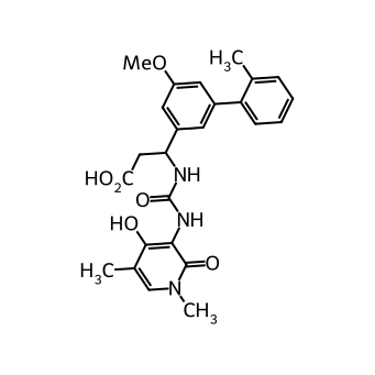 COc1cc(-c2ccccc2C)cc(C(CC(=O)O)NC(=O)Nc2c(O)c(C)cn(C)c2=O)c1